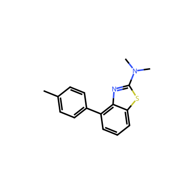 Cc1ccc(-c2cccc3sc(N(C)C)nc23)cc1